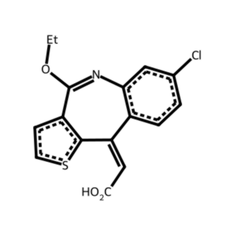 CCOC1=Nc2cc(Cl)ccc2/C(=C/C(=O)O)c2sccc21